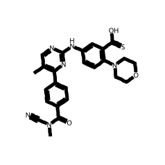 Cc1cnc(Nc2ccc(N3CCOCC3)c(C(O)=S)c2)nc1-c1ccc(C(=O)N(C)C#N)cc1